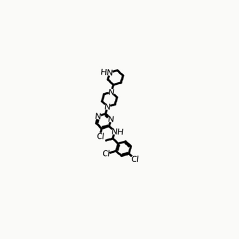 CC(Nc1nc(N2CCN(C3CCCNC3)CC2)ncc1Cl)c1ccc(Cl)cc1Cl